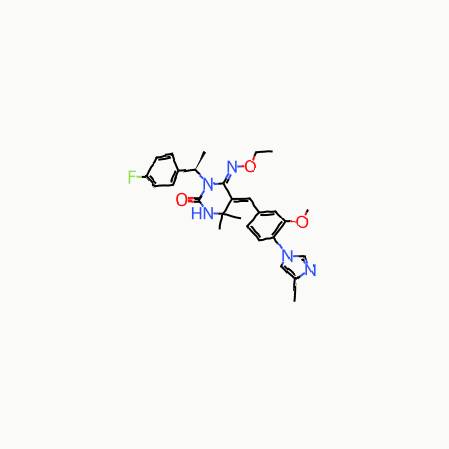 CCO/N=C1\C(=C\c2ccc(-n3cnc(C)c3)c(OC)c2)C(C)(C)NC(=O)N1[C@H](C)c1ccc(F)cc1